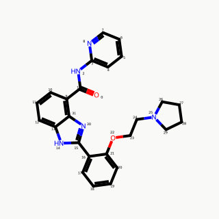 O=C(Nc1ccccn1)c1cccc2[nH]c(-c3ccccc3OCCN3CCCC3)nc12